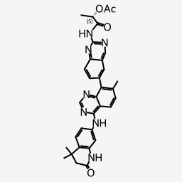 CC(=O)O[C@@H](C)C(=O)Nc1ncc2cc(-c3c(C)ccc4c(Nc5ccc6c(c5)NC(=O)CC6(C)C)ncnc34)ccc2n1